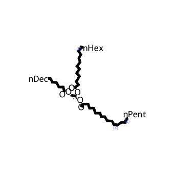 CCCCC/C=C\C/C=C\CCCCCCCCCC(=O)OC[C@H](COC(=O)CCCCCCCCCCCCCCC)OC(=O)CCCCCCCCC/C=C\CCCCCC